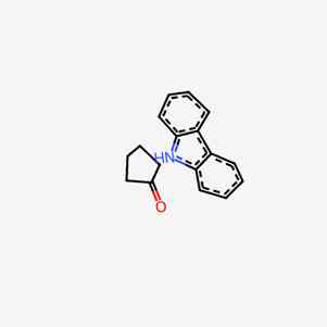 O=C1CCCC1.c1ccc2c(c1)[nH]c1ccccc12